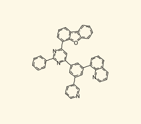 c1ccc(-c2nc(-c3cc(-c4cccnc4)cc(-c4cccc5cccnc45)c3)cc(-c3cccc4c3oc3ccccc34)n2)cc1